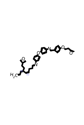 C=C/C=C(\C=C/CCC=Nc1ccc(Oc2ccc(N=Cc3ccc(OCCC4CO4)cc3)cc2)cc1)CCC1COC1